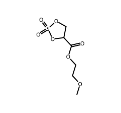 COCCOC(=O)C1COS(=O)(=O)O1